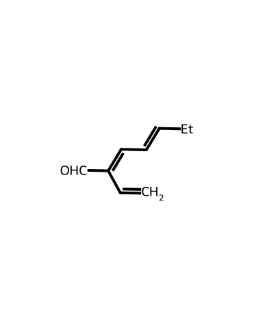 C=CC(C=O)=CC=CCC